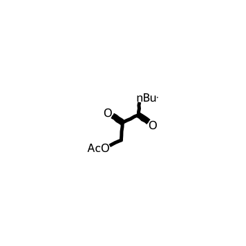 CCC[CH]C(=O)C(=O)COC(C)=O